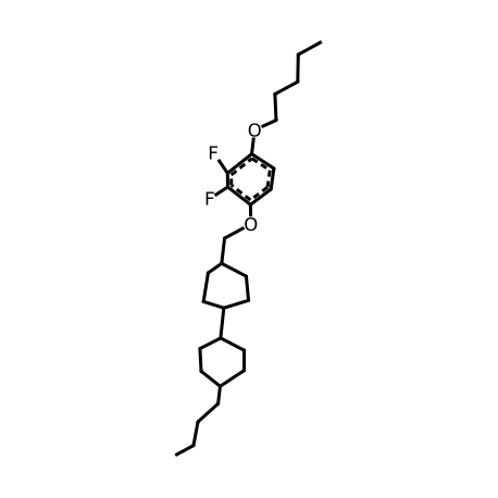 CCCCCOc1ccc(OCC2CCC(C3CCC(CCCC)CC3)CC2)c(F)c1F